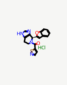 Cl.O=C(c1ccns1)N1CCc2[nH]cnc2[C@H]1c1cc2ccccc2o1